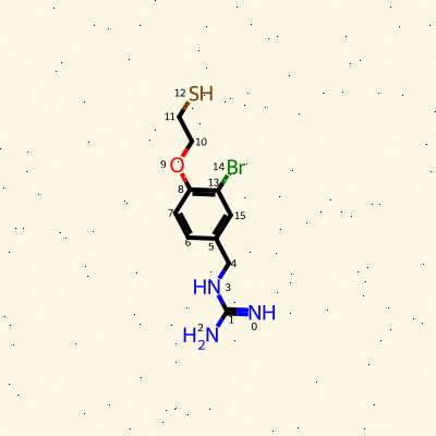 N=C(N)NCc1ccc(OCCS)c(Br)c1